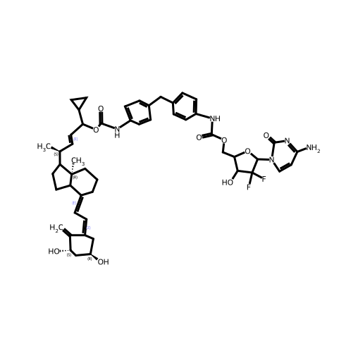 C=C1/C(=C\C=C2/CCC[C@@]3(C)C2CCC3[C@@H](C)/C=C/C(OC(=O)Nc2ccc(Cc3ccc(NC(=O)OCC4OC(n5ccc(N)nc5=O)C(F)(F)C4O)cc3)cc2)C2CC2)C[C@@H](O)C[C@@H]1O